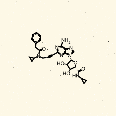 Nc1nc(C#CCN(C(=O)Cc2ccccc2)C2CC2)nc2c1ncn2[C@@H]1O[C@H](C(=O)NC2CC2)[C@@H](O)[C@H]1O